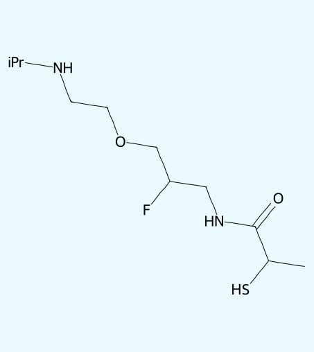 CC(C)NCCOCC(F)CNC(=O)C(C)S